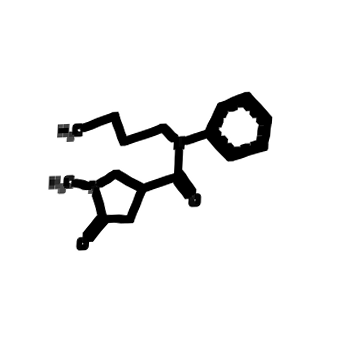 CCCCN(C(=O)C1CC(=O)N(C)C1)c1ccccc1